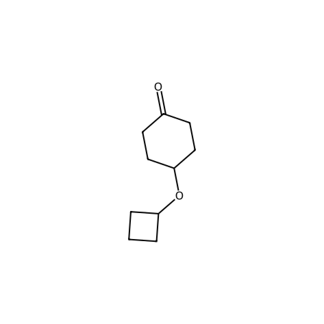 O=C1CCC(OC2CCC2)CC1